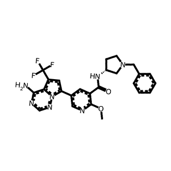 COc1ncc(-c2cc(C(F)(F)F)c3c(N)ncnn23)cc1C(=O)N[C@@H]1CCN(Cc2ccccc2)C1